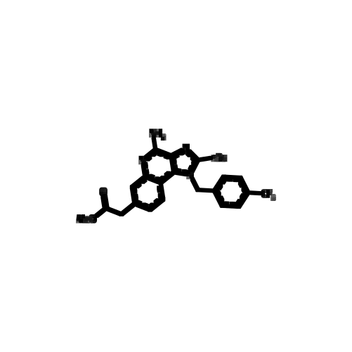 CCCCc1nc2c(N)nc3cc(CC(=O)OC)ccc3c2n1Cc1ccc(C(F)(F)F)cc1